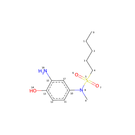 CCCCCS(=O)(=O)N(C)c1ccc(O)c(N)c1